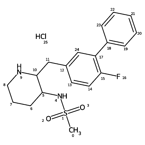 CS(=O)(=O)NC1CCCNC1Cc1ccc(F)c(-c2ccccc2)c1.Cl